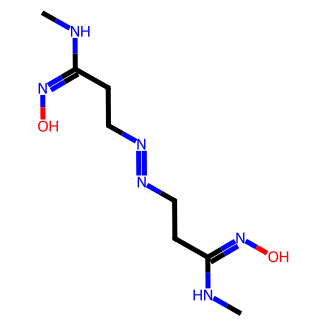 CNC(CCN=NCCC(=NO)NC)=NO